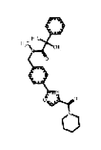 CN(Cc1ccc(-c2nc(C(=O)N3CCCCC3)co2)cc1)C(=O)C(C)(C)c1ccccc1